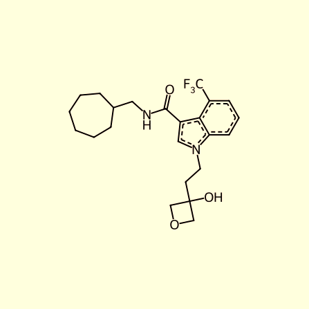 O=C(NCC1CCCCCC1)c1cn(CCC2(O)COC2)c2cccc(C(F)(F)F)c12